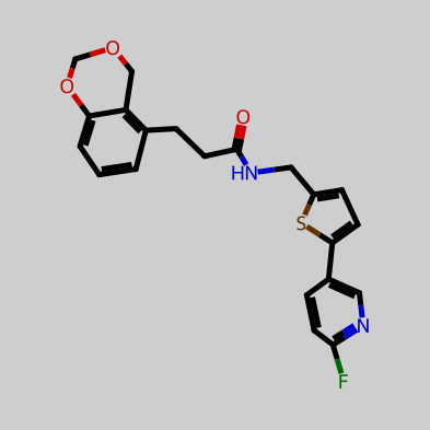 O=C(CCc1cccc2c1COCO2)NCc1ccc(-c2ccc(F)nc2)s1